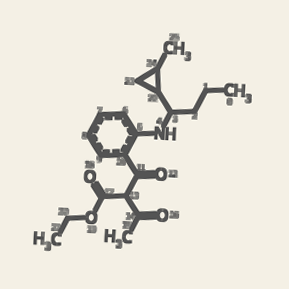 CCCC(Nc1ccccc1C(=O)C(C(C)=O)C(=O)OCC)C1CC1C